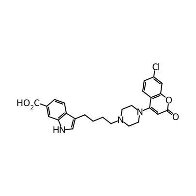 O=C(O)c1ccc2c(CCCCN3CCN(c4cc(=O)oc5cc(Cl)ccc45)CC3)c[nH]c2c1